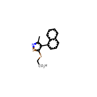 Cc1nsc(SCC(=O)O)c1-c1cccc2ccccc12